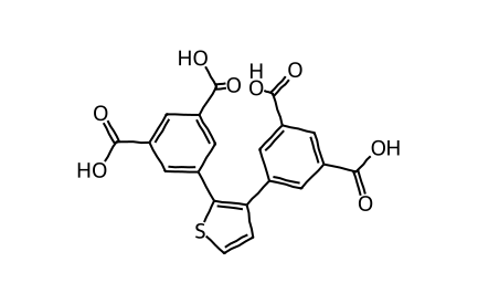 O=C(O)c1cc(C(=O)O)cc(-c2ccsc2-c2cc(C(=O)O)cc(C(=O)O)c2)c1